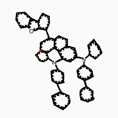 c1ccc(-c2ccc(N(c3ccccc3)c3cc(N(c4ccccc4)c4ccc(-c5ccccc5)cc4)c4c(ccc5c(-c6cccc7c6oc6ccccc67)cccc54)c3)cc2)cc1